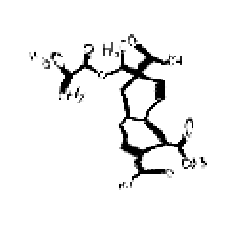 C=C(C)C(=O)OC(C)C1(C(=O)O)C=CC2=C(C(=O)O)C(C(=O)O)C=CC2=C1